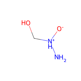 N[NH+]([O-])CO